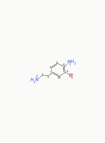 NCCc1ccc(N)c(Br)c1